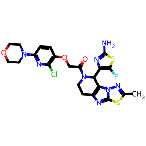 Cc1nn2c3c(nc2s1)CCN(C(=O)COc1ccc(N2CCOCC2)nc1Cl)C3c1nc(N)sc1F